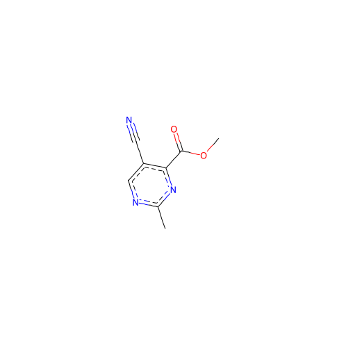 COC(=O)c1nc(C)ncc1C#N